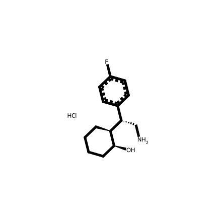 Cl.NC[C@@H](c1ccc(F)cc1)[C@@H]1CCCC[C@@H]1O